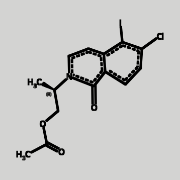 CC(=O)OC[C@@H](C)n1ccc2c(I)c(Cl)ccc2c1=O